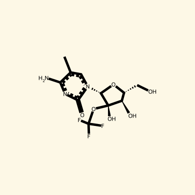 Cc1cn([C@@H]2O[C@H](CO)[C@@H](O)[C@]2(O)OC(F)(F)F)c(=O)nc1N